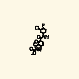 COC(=O)N[C@@H]1CCOc2c(C(=O)Nc3ccc(F)c(Cl)c3)ccc(F)c21